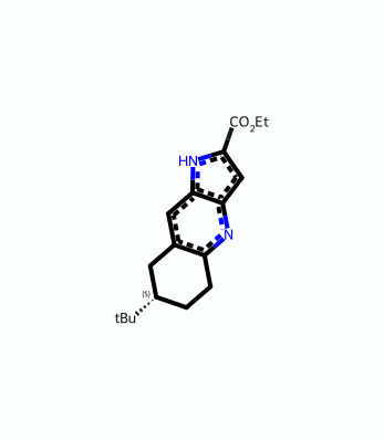 CCOC(=O)c1cc2nc3c(cc2[nH]1)C[C@@H](C(C)(C)C)CC3